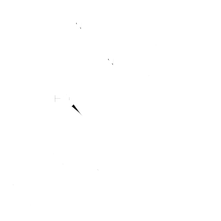 O[C@@H](C[C@H]1c2ccccc2-c2cncn21)C1C2CC3CC(C2)CC1C3